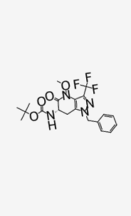 CON1C(=O)[C@@H](NC(=O)OC(C)(C)C)Cc2c1c(C(F)(F)F)nn2Cc1ccccc1